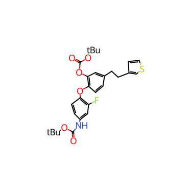 CC(C)(C)OC(=O)Nc1ccc(Oc2ccc(CCc3ccsc3)cc2OC(=O)OC(C)(C)C)c(F)c1